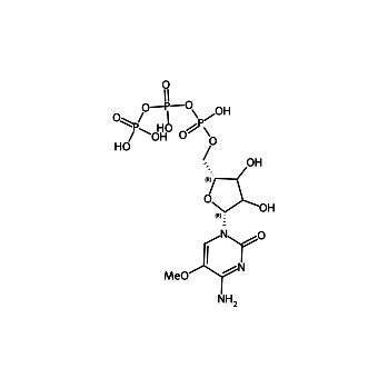 COc1cn([C@@H]2O[C@H](COP(=O)(O)OP(=O)(O)OP(=O)(O)O)C(O)C2O)c(=O)nc1N